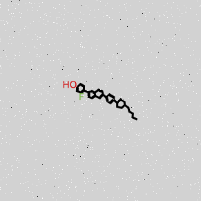 CCCCCC1CCC(c2ccc(-c3ccc4cc(-c5ccc(O)cc5F)ccc4c3)cc2)CC1